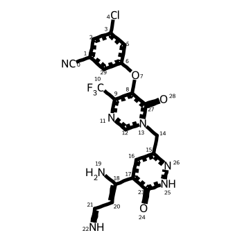 N#Cc1cc(Cl)cc(Oc2c(C(F)(F)F)ncn(Cc3cc(/C(N)=C/C=N)c(=O)[nH]n3)c2=O)c1